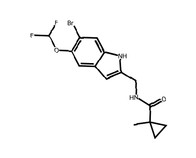 CC1(C(=O)NCc2cc3cc(OC(F)F)c(Br)cc3[nH]2)CC1